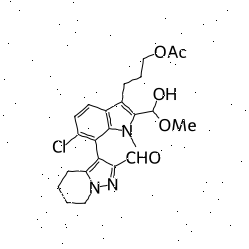 COC(O)c1c(CCCOC(C)=O)c2ccc(Cl)c(-c3c(C=O)nn4c3CCCC4)c2n1C